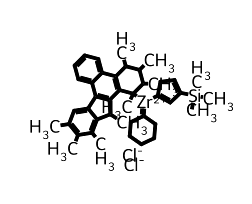 Cc1cc2c(c(C)c1C)C(C)c1c3c(c4ccccc4c1-2)C(C)C(C)C(C)[C]3(C)[Zr+2]([C]1=CC([Si](C)(C)C)=CC1)=[C]1CCCCC1.[Cl-].[Cl-]